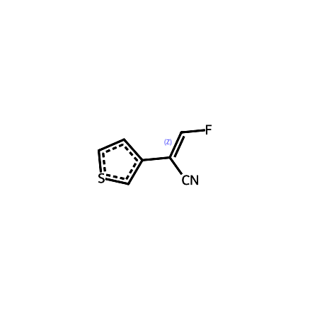 N#C/C(=C\F)c1ccsc1